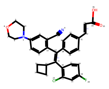 N#Cc1cc(N2CCOCC2)ccc1/C(=C(/c1ccc(F)cc1Cl)C1CCC1)c1ccc(/C=C/C(=O)O)cc1